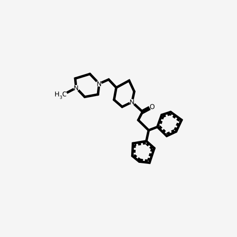 CN1CCN(CC2CCN(C(=O)CC(c3ccccc3)c3ccccc3)CC2)CC1